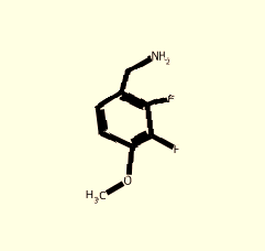 COc1ccc(CN)c(F)c1F